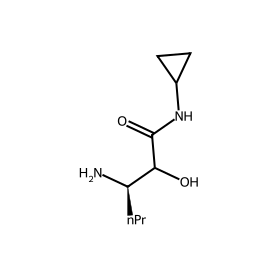 CCC[C@@H](N)C(O)C(=O)NC1CC1